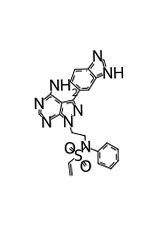 C=CS(=O)(=O)N(CCn1nc(-c2ccc3nc[nH]c3c2)c2c(N)ncnc21)c1ccccc1